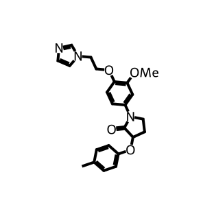 COc1cc(N2CCC(Oc3ccc(C)cc3)C2=O)ccc1OCCn1ccnc1